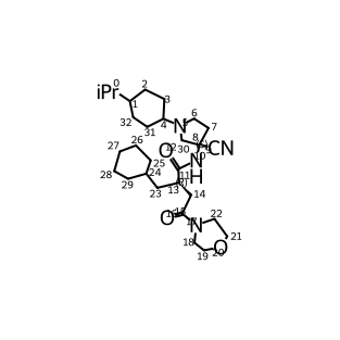 CC(C)C1CCC(N2CC[C@](C#N)(NC(=O)[C@@H](CC(=O)N3CCOCC3)CC3CCCCC3)C2)CC1